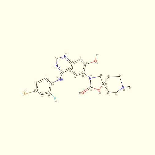 COc1cc2ncnc(Nc3ccc(Br)cc3F)c2cc1N1CC2(CCN(C)CC2)OC1=O